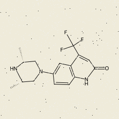 C[C@@H]1CN(c2ccc3[nH]c(=O)cc(C(F)(F)F)c3c2)C[C@H](C)N1